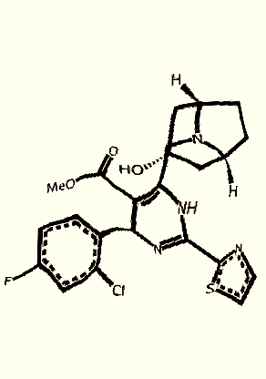 COC(=O)C1=C(CN2[C@@H]3CC[C@H]2C[C@@H](O)C3)NC(c2nccs2)=N[C@H]1c1ccc(F)cc1Cl